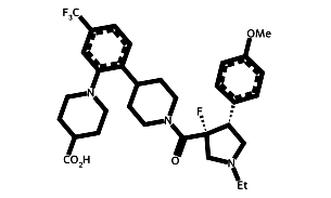 CCN1C[C@@H](c2ccc(OC)cc2)[C@](F)(C(=O)N2CCC(c3ccc(C(F)(F)F)cc3N3CCC(C(=O)O)CC3)CC2)C1